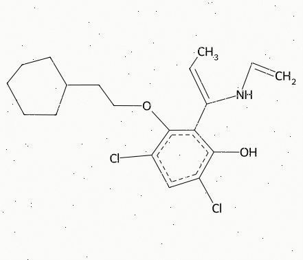 C=CN/C(=C\C)c1c(O)c(Cl)cc(Cl)c1OCCC1CCCCC1